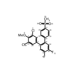 COc1c(Cl)cc(-c2cc(F)c(F)cc2-c2ccc(S(C)(=O)=O)cc2)cc1Cl